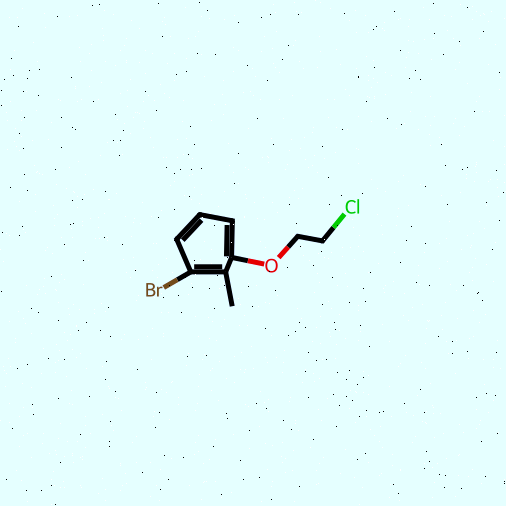 Cc1c(Br)cccc1OCCCl